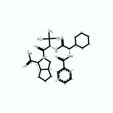 CC(C)(C)[C@H](NC(=O)[C@@H](NC(=O)c1cnccn1)C1CCCCC1)C(=O)N1CC2CCCC2C1C(=O)O